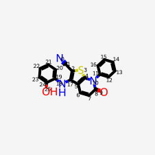 N#Cc1sc2c(ccc(=O)n2-c2ccccc2)c1Nc1ccccc1O